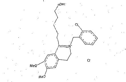 CCCCCCCCCCCCCCCC1=[N+](Cc2ccccc2Cl)CCc2cc(OC)c(OC)cc21.[Cl-]